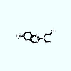 CCN(CCO)c1ncc2c(n1)CCC(N)C2